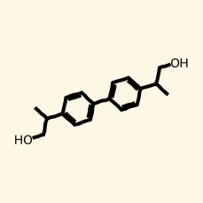 CC(CO)c1ccc(-c2ccc(C(C)CO)cc2)cc1